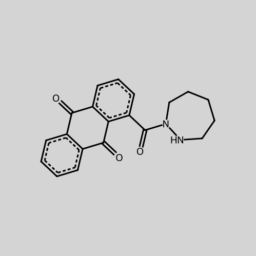 O=C1c2ccccc2C(=O)c2c1cccc2C(=O)N1CCCCCN1